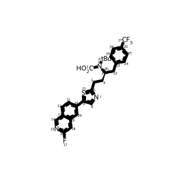 CC(C)(C)N(C(=O)O)[C@H](CCc1ncc(-c2ccc3cnc(F)cc3c2)s1)Cc1ccc(C(F)(F)F)cc1